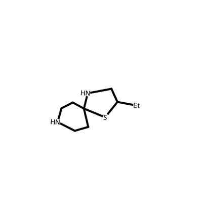 CCC1CNC2(CCNCC2)S1